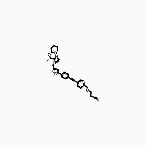 C[C@H](OC1CCCCO1)c1nccn1Cc1cc(-c2ccc(C#Cc3ccc(COCCC#N)nc3)cc2)on1